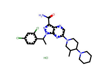 CC1CN(c2cnc3c(C(N)=O)nn(C(C)c4ccc(Cl)cc4Cl)c3n2)CCC1N1CCCCC1.Cl